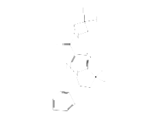 O=C(c1nc2n(n1)[C@@H](c1ccccc1)CC2(F)F)N1CC(F)(F)C1